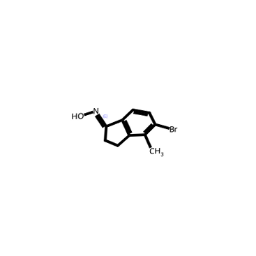 Cc1c(Br)ccc2c1CC/C2=N\O